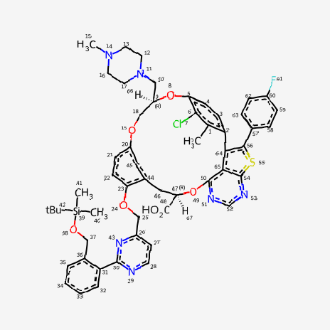 Cc1c2ccc(c1Cl)O[C@H](CN1CCN(C)CC1)COc1ccc(OCc3ccnc(-c4ccccc4CO[Si](C)(C)C(C)(C)C)n3)c(c1)C[C@H](C(=O)O)Oc1ncnc3sc(-c4ccc(F)cc4)c-2c13